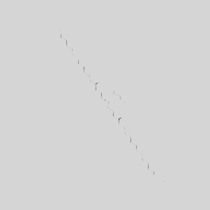 CCCCCCCCCCCCCC(=O)CCCNCCCC(=O)CCCCCCCCCCCCC.OCCO